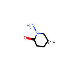 C[C@@H]1CCC(=O)N(N)C1